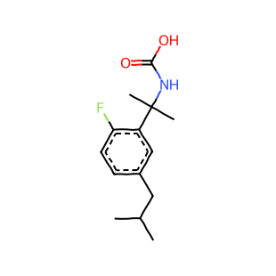 CC(C)Cc1ccc(F)c(C(C)(C)NC(=O)O)c1